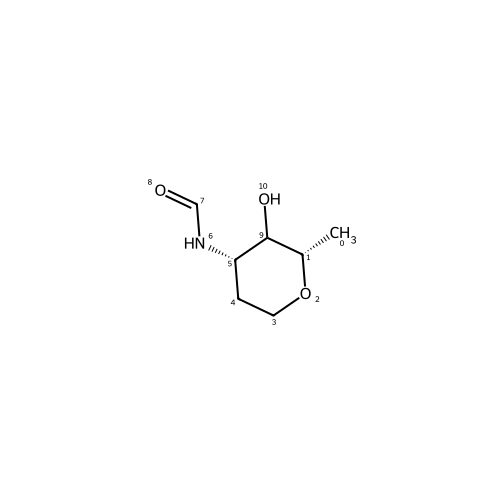 C[C@@H]1OCC[C@H](NC=O)C1O